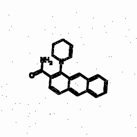 NC(=O)c1ccc2cc3ccccc3cc2c1N1C=CCCC1